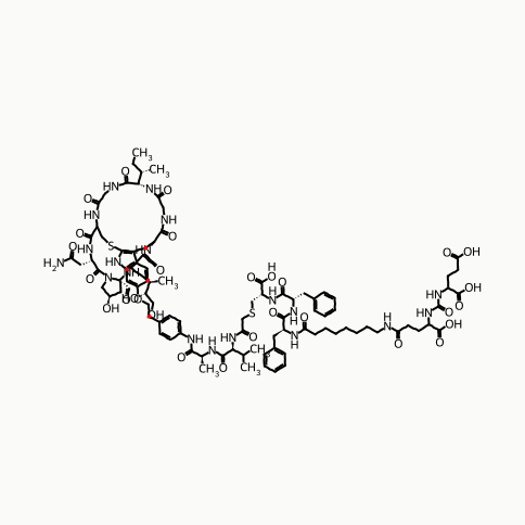 CC[C@H](C)[C@@H]1NC(=O)CNC(=O)C2Cc3c([nH]c4cc(OCCc5ccc(NC(=O)[C@H](C)NC(=O)[C@@H](NC(=O)CSC[C@@H](NC(=O)[C@H](Cc6ccccc6)NC(=O)[C@H](Cc6ccccc6)NC(=O)CCCCCCCNC(=O)CCC(NC(=O)NC(CCC(=O)O)C(=O)O)C(=O)O)C(=O)O)C(C)C)cc5)ccc34)SCC(NC(=O)CNC1=O)C(=O)N[C@@H](CC(N)=O)C(=O)N1C[C@H](O)C[C@]1(C=O)N[C@@H]([C@@H](C)[C@@H](O)CO)C(=O)N2